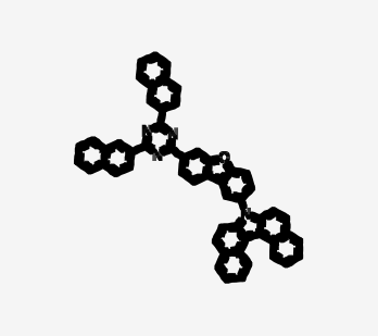 c1ccc2cc(-c3nc(-c4ccc5ccccc5c4)nc(-c4ccc5c(c4)oc4ccc(-n6c7ccc8ccccc8c7c7c8ccccc8ccc76)cc45)n3)ccc2c1